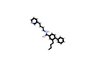 CCCCc1cc(C(=O)NCCCCc2cccnc2)ccc1-c1ccccc1